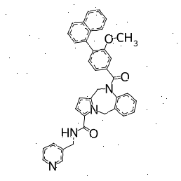 COc1cc(C(=O)N2Cc3ccc(C(=O)NCc4cccnc4)n3Cc3ccccc32)ccc1-c1cccc2ccccc12